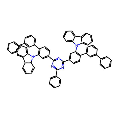 C1=CC2c3ccccc3N(c3cc(-c4nc(-c5ccccc5)nc(-c5ccc(-c6cccc(-c7ccccc7)c6)c(-n6c7ccccc7c7ccccc76)c5)n4)ccc3-c3cccc(-c4ccccc4)c3)C2C=C1